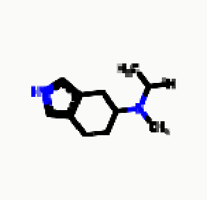 [2H]C(C)N(C)C1CCc2c[nH]cc2C1